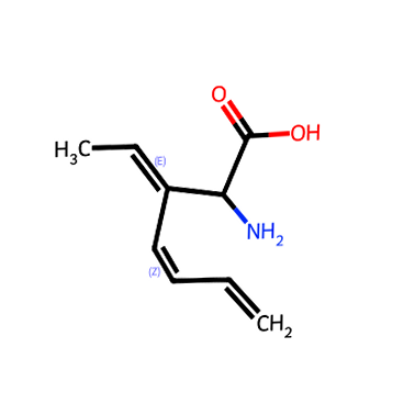 C=C/C=C\C(=C/C)C(N)C(=O)O